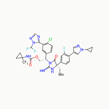 CC(C)(C)C[C@]1(c2ccc(-c3cnn(C4CC4)c3)c(F)c2)NC(=N)N([C@H](COC(=O)NC2(C(F)(F)F)CC2)c2ccc(Cl)c(-c3ncnn3C(F)F)c2)C1=O